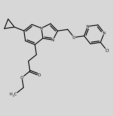 CCOC(=O)CCc1cc(C2CC2)cn2cc(COc3cc(Cl)ncn3)nc12